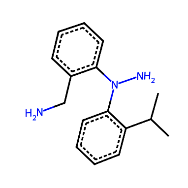 CC(C)c1ccccc1N(N)c1ccccc1CN